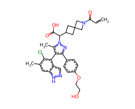 C=CC(=O)N1CC2(CC(C(C(=O)O)n3nc(-c4ccc(OCCO)cc4)c(-c4c(Cl)c(C)cc5[nH]ncc45)c3C)C2)C1